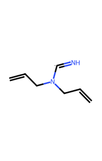 C=CCN([C]=N)CC=C